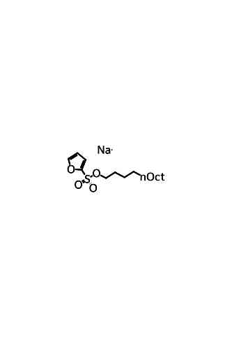 CCCCCCCCCCCCOS(=O)(=O)c1ccco1.[Na]